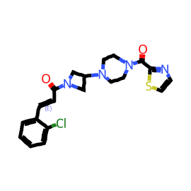 O=C(/C=C/c1ccccc1Cl)N1CC(N2CCN(C(=O)c3nccs3)CC2)C1